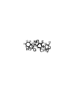 C[C@@H]1CN(c2c(C=O)cc3c(N4C(=O)S[C@@H]5CCCC[C@]54C)noc3c2F)C[C@@H](C)O1